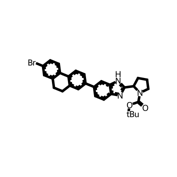 CC(C)(C)OC(=O)N1CCCC1c1nc2ccc(-c3ccc4c(c3)CCc3cc(Br)ccc3-4)cc2[nH]1